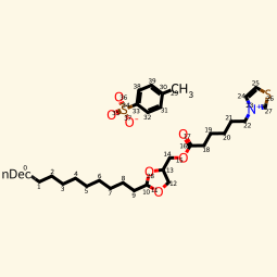 CCCCCCCCCCCCCCCCCCCC1OCC(COC(=O)CCCCC[n+]2ccsc2)O1.Cc1ccc(S(=O)(=O)[O-])cc1